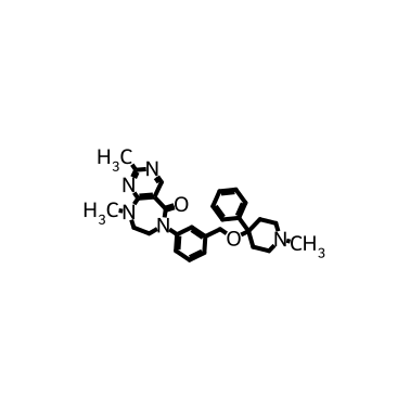 Cc1ncc2c(n1)N(C)CCN(c1cccc(COC3(c4ccccc4)CCN(C)CC3)c1)C2=O